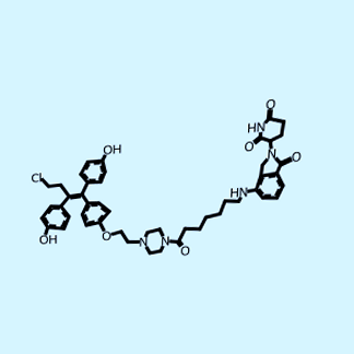 O=C1CCC(N2Cc3c(NCCCCCCC(=O)N4CCN(CCOc5ccc(C(=C(CCCl)c6ccc(O)cc6)c6ccc(O)cc6)cc5)CC4)cccc3C2=O)C(=O)N1